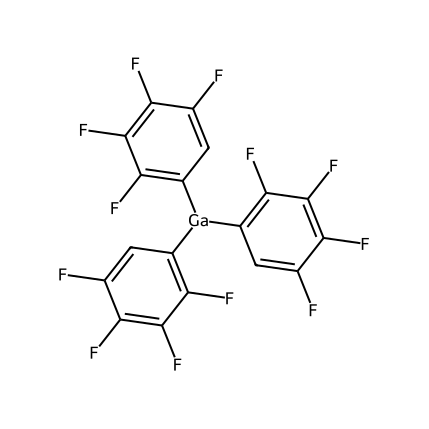 Fc1c[c]([Ga]([c]2cc(F)c(F)c(F)c2F)[c]2cc(F)c(F)c(F)c2F)c(F)c(F)c1F